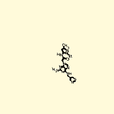 CCn1nc(C)cc1NC(=O)Cn1cnc2c(NCc3cncnc3)nc(N)nc21